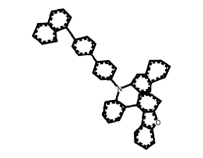 c1ccc(N(c2ccc(-c3ccc(-c4cccc5ccccc45)cc3)cc2)c2ccc3ccccc3c2)c(-c2cccc3oc4ccccc4c23)c1